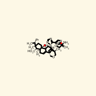 CC(C)[C@@H](C)[C@@]1(C)CC[C@]2(C)[C@H]3CC[C@@H]4[C@@]5(COC[C@@]4(C)[C@@H](OC[C@](C)(N)C(C)(C)C)[C@H](n4ncnc4-c4cnc(Br)s4)C5)C3=CC[C@@]2(C)[C@@H]1C(=O)O